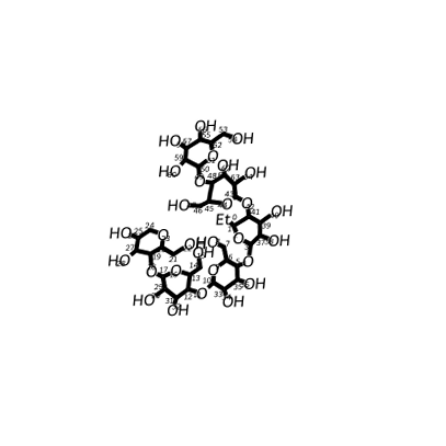 CCC1OC(OC2C(CO)OC(OC3C(CO)OC(OC4C(CO)OCC(O)C4O)C(O)C3O)C(O)C2O)C(O)C(O)C1OC1OC(CO)C(OC2OC(CO)C(O)C(O)C2O)C(O)C1O